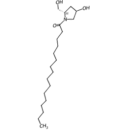 CCCCCCCCCCCCCCCC(=O)N1CC(O)C[C@H]1CO